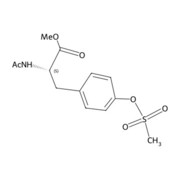 COC(=O)[C@H](Cc1ccc(OS(C)(=O)=O)cc1)NC(C)=O